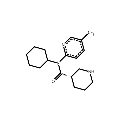 O=C([C@H]1CCCNC1)N(c1ccc(C(F)(F)F)cn1)C1CCCCC1